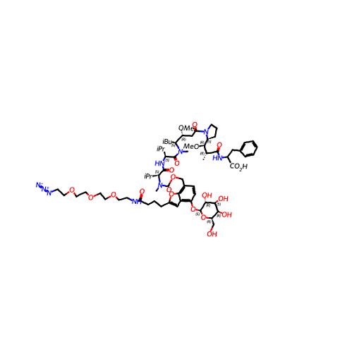 CCC(C)[C@@H]([C@@H](CC(=O)N1CCC[C@H]1[C@H](OC)[C@@H](C)C(=O)NC(Cc1ccccc1)C(=O)O)OC)N(C)C(=O)[C@@H](NC(=O)[C@H](C(C)C)N(C)C(=O)OCc1ccc(O[C@@H]2O[C@H](CO)[C@H](O)[C@H](O)[C@H]2O)c2cc(CCCC(=O)NCCOCCOCCOCCN=[N+]=[N-])oc12)C(C)C